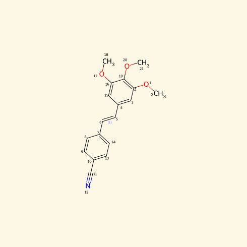 COc1cc(/C=C/c2ccc(C#N)cc2)cc(OC)c1OC